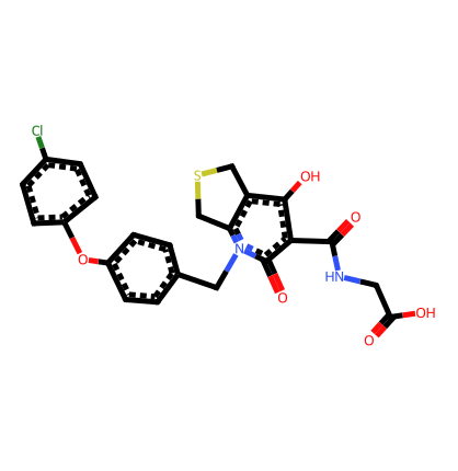 O=C(O)CNC(=O)c1c(O)c2c(n(Cc3ccc(Oc4ccc(Cl)cc4)cc3)c1=O)CSC2